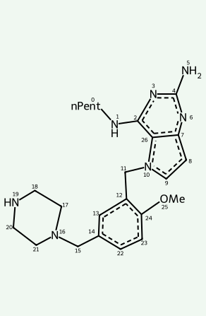 CCCCCNc1nc(N)nc2ccn(Cc3cc(CN4CCNCC4)ccc3OC)c12